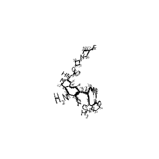 Cc1c(-c2cc3cc(NC(=O)O[C@H]4C[C@@H](N5CC(F)C5)C4)ncc3c(N)c2F)cnc2c1NCCO2